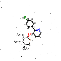 CC(=O)O[C@@H]1[C@@H](OC(C)=O)[C@@H](Oc2cccnc2-c2ccc(F)cc2)SC[C@H]1OC(C)=O